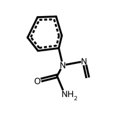 C=NN(C(N)=O)c1ccccc1